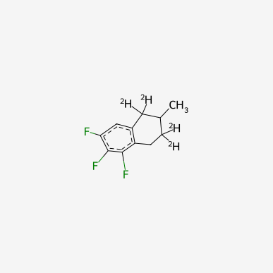 [2H]C1([2H])Cc2c(cc(F)c(F)c2F)C([2H])([2H])C1C